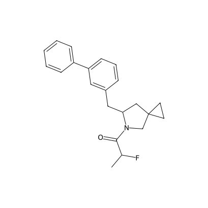 CC(F)C(=O)N1CC2(CC2)CC1Cc1cccc(-c2ccccc2)c1